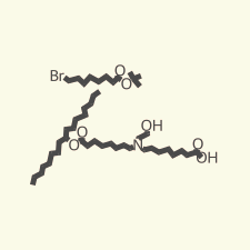 CC(C)(C)OC(=O)CCCCCCCBr.CCCCCCCCC(CCCCCCCC)OC(=O)CCCCCCCN(CCO)CCCCCCCC(=O)O